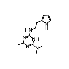 CC1N=C(NCCc2ccc[nH]2)NC(N(C)C)=N1